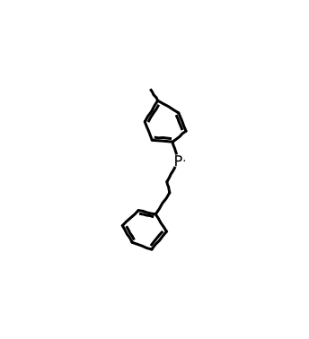 Cc1ccc([P]CCc2ccccc2)cc1